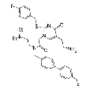 CCN(CC)CCN(Cc1ccc(-c2ccc(CF)cc2)cc1)C(=O)Cn1cc(CCN)c(=O)nc1SCc1ccc(F)cc1